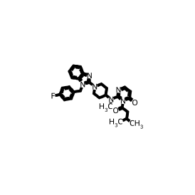 CC(C)CC(=O)n1c(N(C)C2CCN(c3nc4ccccc4n3Cc3ccc(F)cc3)CC2)nccc1=O